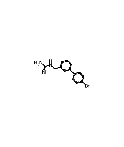 N=C(N)NCc1cccc(-c2ccc(Br)cc2)c1